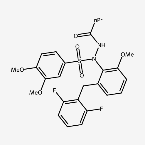 CCCC(=O)NN(c1c(Cc2c(F)cccc2F)cccc1OC)S(=O)(=O)c1ccc(OC)c(OC)c1